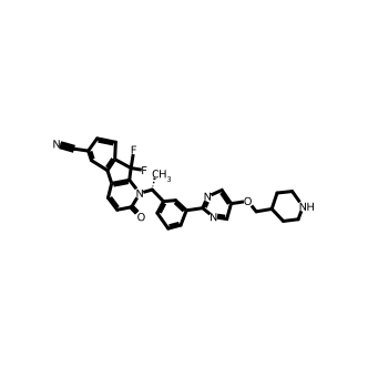 C[C@H](c1cccc(-c2ncc(OCC3CCNCC3)cn2)c1)n1c2c(ccc1=O)-c1cc(C#N)ccc1C2(F)F